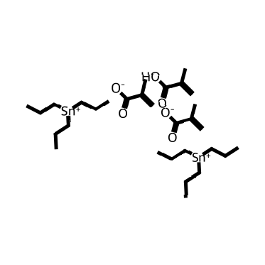 C=C(C)C(=O)O.C=C(C)C(=O)[O-].C=C(C)C(=O)[O-].CC[CH2][Sn+]([CH2]CC)[CH2]CC.CC[CH2][Sn+]([CH2]CC)[CH2]CC